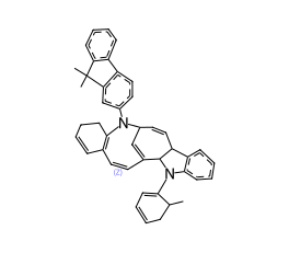 CC1CC=CC=C1N1c2ccccc2C2C=CC3C=C(/C=C\C4=C(CCC=C4)N3c3ccc4c(c3)C(C)(C)c3ccccc3-4)C21